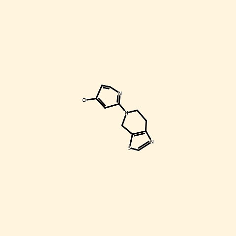 Clc1ccnc(N2CCc3ncsc3C2)c1